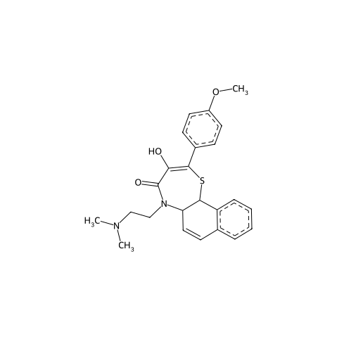 COc1ccc(C2=C(O)C(=O)N(CCN(C)C)C3C=Cc4ccccc4C3S2)cc1